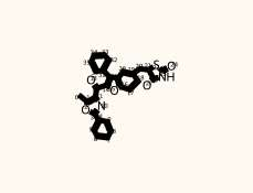 Cc1oc(-c2ccccc2)nc1C(=O)c1oc2ccc(CC3SC(=O)NC3=O)cc2c1-c1ccccc1